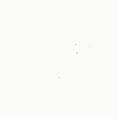 c1ccc(-c2nc(-c3ccccc3)nc(-c3ccc(-c4cc(-c5ccc6c(n5)sc5ccncc56)c5ncccc5c4)cc3)n2)cc1